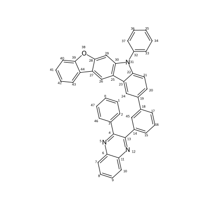 c1ccc(-c2nc3ccccc3nc2-c2cccc(-c3ccc4c(c3)c3cc5c(cc3n4-c3ccccc3)oc3ccccc35)c2)cc1